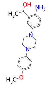 COc1ccc(N2CCN(c3ccc(N)c(C(C)O)c3)CC2)cc1